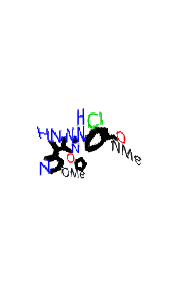 CNC(=O)c1ccc(Nc2nc(OC3CCCC3)c3c(-c4cncc(OC)c4)c[nH]c3n2)c(Cl)c1